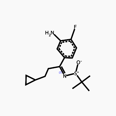 CC(C)(C)[S+]([O-])/N=C(/CCC1CC1)c1ccc(F)c(N)c1